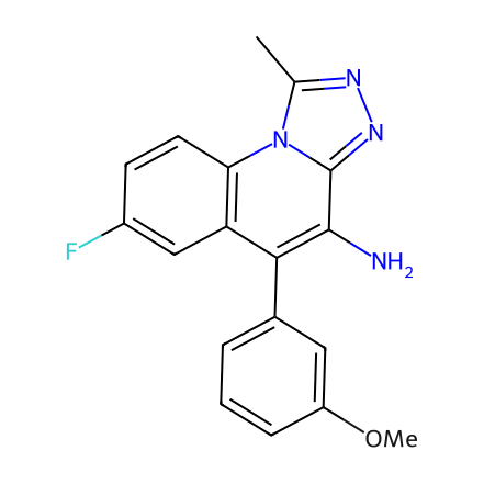 COc1cccc(-c2c(N)c3nnc(C)n3c3ccc(F)cc23)c1